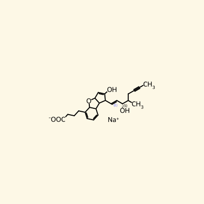 CC#CCC(C)[C@H](O)/C=C/C1C(O)=CC2OC3C(CCCC(=O)[O-])=CC=CC3C21.[Na+]